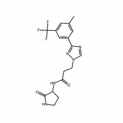 Cc1cc(-c2ncn(CCC(=O)NN3CCNC3=O)n2)cc(C(F)(F)F)c1